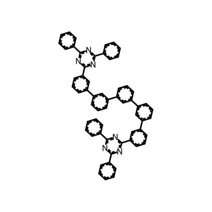 c1ccc(-c2nc(-c3ccccc3)nc(-c3cccc(-c4cccc(-c5cccc(-c6cccc(-c7cccc(-c8nc(-c9ccccc9)nc(-c9ccccc9)n8)c7)c6)c5)c4)c3)n2)cc1